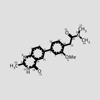 COc1cc(-c2ccc3nc(C)[nH]c(=O)c3c2)ccc1CC(=O)N(C)C